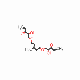 C=CC(=O)C(O)COCCC(C)CCOCC(O)C(=O)C=C